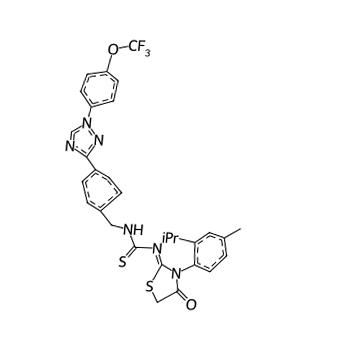 Cc1ccc(N2C(=O)CS/C2=N\C(=S)NCc2ccc(-c3ncn(-c4ccc(OC(F)(F)F)cc4)n3)cc2)c(C(C)C)c1